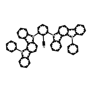 N#Cc1c(-n2c3ccccc3c3c2ccc2c4ccccc4n(-c4ccccc4)c23)cccc1-n1c2ccccc2c2c1ccc1c3ccccc3n(-c3ccccc3)c12